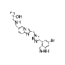 OC1(CNCc2ccc3nc(Cn4cc(-c5cc(Br)cc6[nH]ncc56)nn4)cn3c2)CCC1